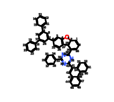 C1=CC2Oc3cc(-c4cc(-c5ccccc5)cc(-c5ccccc5)c4)ccc3C2C(c2nc(-c3ccccc3)nc(-c3cc4ccccc4c4ccccc34)n2)=C1